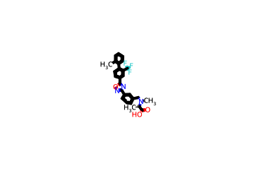 Cc1ccccc1-c1ccc(-c2nc(-c3cccc(CN(C)[C@@H](C)C(=O)O)c3)no2)cc1C(F)(F)F